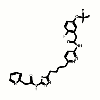 O=C(Cc1cc(OC(F)(F)F)ccc1F)Nc1ccc(CCCCc2nnc(NC(=O)Cc3ccccn3)s2)nn1